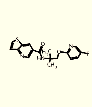 CC(C)(COc1ccc(F)cn1)NC(=O)c1cnc2ccsc2c1